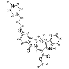 CC(C)OC(=O)C1=CN(C(=O)c2ccc(OCCCN3CCN(C)CC3)cc2)CC(C)(C)c2c1[nH]c1ccccc21